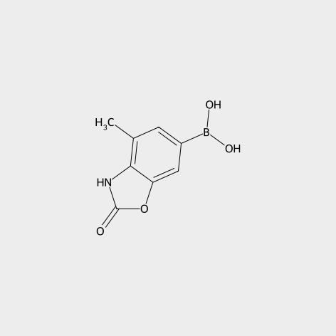 Cc1cc(B(O)O)cc2oc(=O)[nH]c12